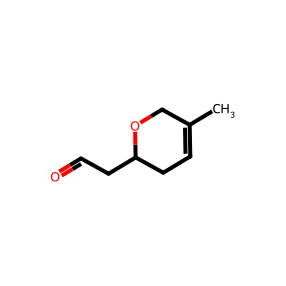 CC1=CCC(CC=O)OC1